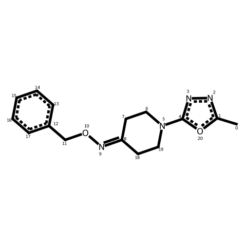 Cc1nnc(N2CCC(=NOCc3ccccc3)CC2)o1